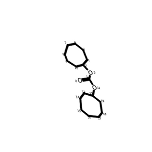 O=C(OC1CCCCCCC1)OC1CCCCCCC1